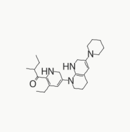 CCC1=C(C(=O)C(C)CC)NCC(N2CCCC3=C2NCC(N2CCCCC2)=C3)=C1